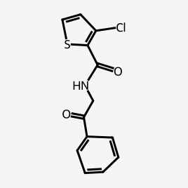 O=C(CNC(=O)c1sccc1Cl)c1ccccc1